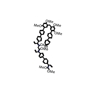 C=C/C(=C(\COC)OC)c1ccc(-c2ccc(/C(C=C)=C(/C/C(OC)=C(\C=C)c3ccc(-c4ccc(-c5cc(Cc6cc(-c7ccc(-c8ccc(CC)cc8)cc7)c(OC)cc6OC)c(OC)cc5OC)cc4)cc3)OC)cc2)cc1